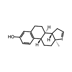 C[C@]12CC[C@@H]3c4ccc(O)cc4CC[C@H]3[C@@H]1CC=I2